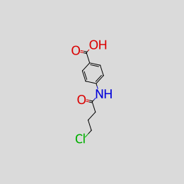 O=C(CCCCl)Nc1ccc(C(=O)O)cc1